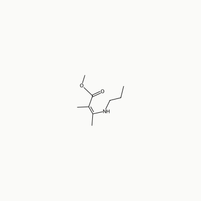 CCCNC(C)=C(C)C(=O)OC